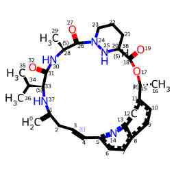 C=C1C/C=C/c2ccc3ccc(cc3n2)[C@@H](C)OC(=O)[C@@H]2CCCN(N2)C(=O)[C@H](C)NC(=O)[C@H](C(C)C)N1